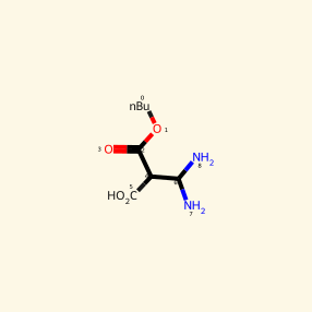 CCCCOC(=O)C(C(=O)O)C(N)N